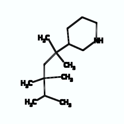 CC(C)C(C)(C)CC(C)(C)C1CCCNC1